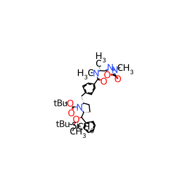 C[C@H](c1nn(C)c(=O)o1)N(C)C(=O)c1ccc(C[C@@H]2CC[C@H]([C@H](O[Si](C)(C)C(C)(C)C)c3ccccc3)N2C(=O)OC(C)(C)C)cc1